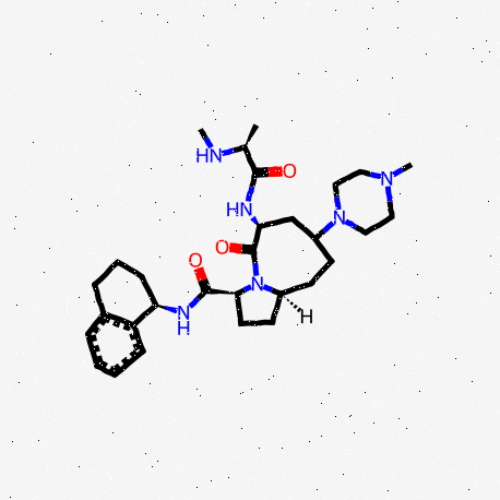 CN[C@@H](C)C(=O)N[C@H]1CC(N2CCN(C)CC2)CC[C@H]2CC[C@@H](C(=O)N[C@@H]3CCCc4ccccc43)N2C1=O